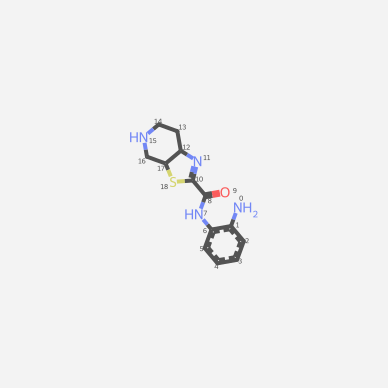 Nc1ccccc1NC(=O)C1=NC2CCNCC2S1